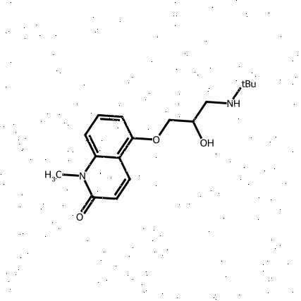 Cn1c(=O)ccc2c(OCC(O)CNC(C)(C)C)cccc21